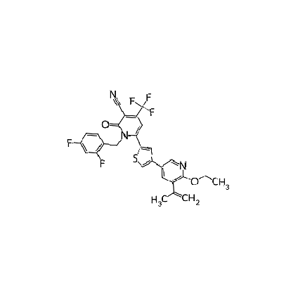 C=C(C)c1cc(-c2csc(-c3cc(C(F)(F)F)c(C#N)c(=O)n3Cc3ccc(F)cc3F)c2)cnc1OCC